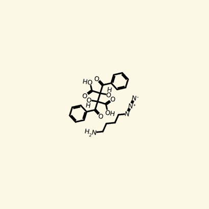 O=C(O)C(O)(C(=O)c1ccccc1)C(O)(C(=O)O)C(=O)c1ccccc1.[N-]=[N+]=NCCCCN